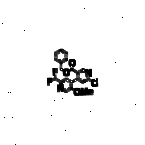 COc1cnc(C(F)F)cc1-c1cc(Cl)ncc1C(=O)OCc1ccccc1